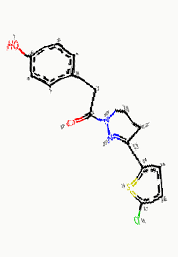 O=C(Cc1ccc(O)cc1)N1CCC(c2ccc(Cl)s2)=N1